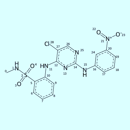 CNS(=O)(=O)c1ccccc1Nc1nc(Nc2cccc([N+](=O)[O-])c2)ncc1Cl